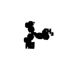 COc1ccccc1N1CCN(CCC(c2ccc([N+](=O)[O-])cc2)c2ccc([N+](=O)[O-])cc2)CC1.Cl.Cl